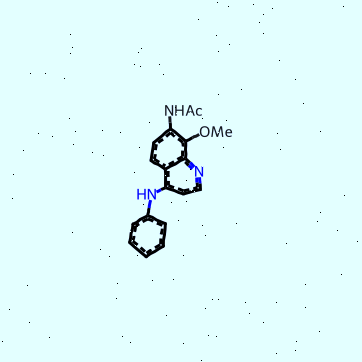 COc1c(NC(C)=O)ccc2c(Nc3ccccc3)ccnc12